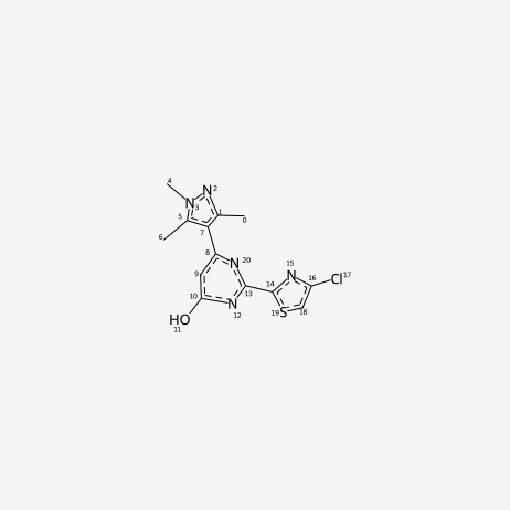 Cc1nn(C)c(C)c1-c1cc(O)nc(-c2nc(Cl)cs2)n1